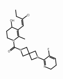 CC/C(Cl)=C\C1=C(C)N(C(=O)N2CC3(C2)CN(C2=NCCC=C2F)C3)CCC1O